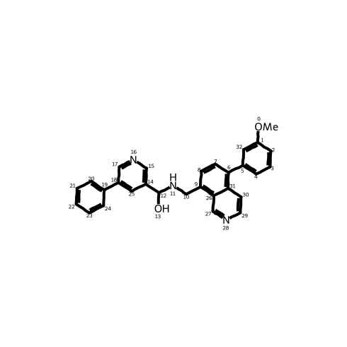 COc1cccc(-c2ccc(CNC(O)c3cncc(-c4ccccc4)c3)c3cnccc23)c1